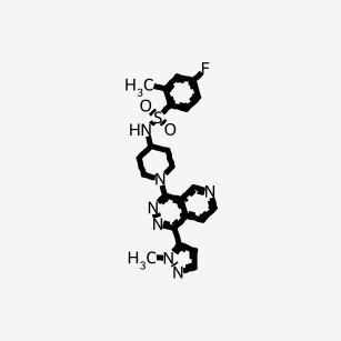 Cc1cc(F)ccc1S(=O)(=O)NC1CCN(c2nnc(-c3ccnn3C)c3ccncc23)CC1